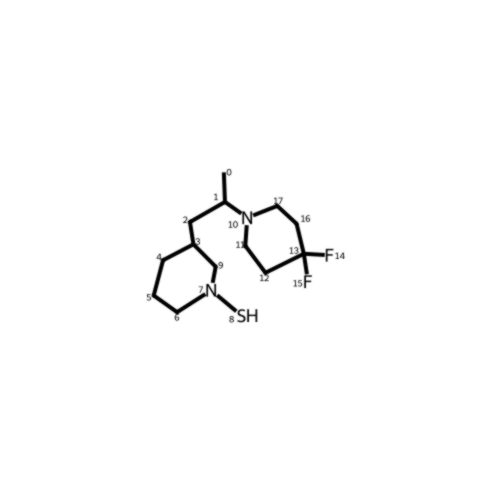 CC(CC1CCCN(S)C1)N1CCC(F)(F)CC1